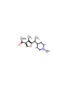 COC(=O)c1csc(C(C)C2CCN(C(C)(C)C)CC2)c1C